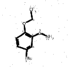 CC(C)(C)c1ccc(OCC(F)(F)F)c(SN)c1